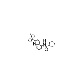 CCOC(=O)c1ccc2c(NC(=O)C3CCCCC3)cccc2n1